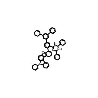 CN1C(c2cc(-c3cc(-c4ccccc4)cc(C4C=CCCC4)c3)ccc2C2=CCCc3c2oc2ccc4c(c32)C2=CC=CCC2N4C2C=CCCC2)=NC(C2=CCCC=C2)NC1C1=CC=CCC1